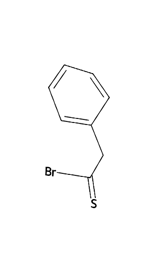 S=C(Br)Cc1ccccc1